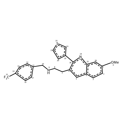 COc1ccc2cc(CCNCc3ccc(C(F)(F)F)cc3)c(-c3ccsc3)nc2c1